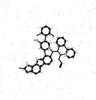 C=CCC1C(C2c3ccc4c(oc5c4ccc4cc(C)sc45)c3-c3cc(C(C)C)c(-c4c(C)cccc4C)c[n+]32)c2ccccc2-c2cccc[n+]21